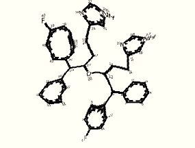 Fc1ccc(C(c2ccccc2)C(CCc2c[nH]cn2)OC(CCc2c[nH]cn2)C(c2ccccc2)c2ccc(F)cc2)cc1